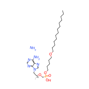 CCCCCCCCCCCCCCOCCCCCOP(=O)(O)CO[C@H](C)Cn1cnc2c(N)ncnc21.N